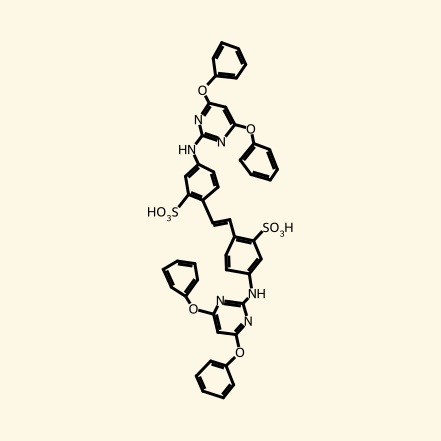 O=S(=O)(O)c1cc(Nc2nc(Oc3ccccc3)cc(Oc3ccccc3)n2)ccc1C=Cc1ccc(Nc2nc(Oc3ccccc3)cc(Oc3ccccc3)n2)cc1S(=O)(=O)O